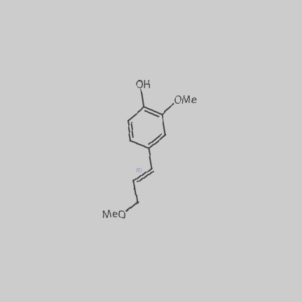 COC/C=C/c1ccc(O)c(OC)c1